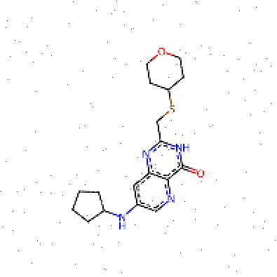 O=c1[nH]c(CSC2CCOCC2)nc2cc(NC3CCCC3)cnc12